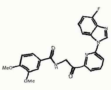 COc1ccc(C(=O)NCC(=O)c2cccc(-n3cnc4c(F)cccc43)n2)cc1OC